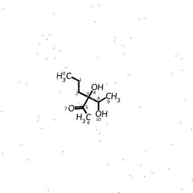 CCCC(O)(C(C)=O)C(C)O